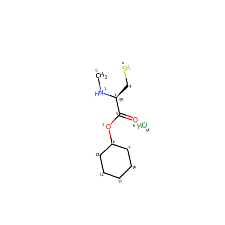 CN[C@@H](CS)C(=O)OC1CCCCC1.Cl